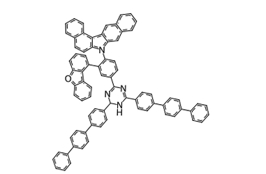 c1ccc(-c2ccc(-c3ccc(C4=NC(c5ccc(-n6c7cc8ccccc8cc7c7c8ccccc8ccc76)c(-c6cccc7oc8ccccc8c67)c5)=NC(c5ccc(-c6ccc(-c7ccccc7)cc6)cc5)N4)cc3)cc2)cc1